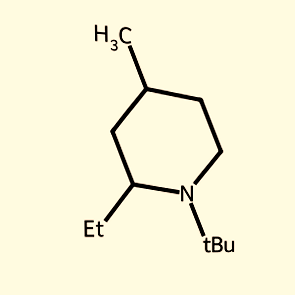 CCC1CC(C)CCN1C(C)(C)C